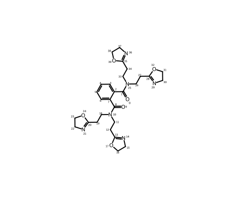 O=C(c1ccccc1C(=O)N(CCC1=NCCO1)CCC1=NCCO1)N(CCC1=NCCO1)CCC1=NCCO1